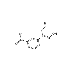 C=CC/C(=N\O)c1cccc([N+](=O)[O-])c1